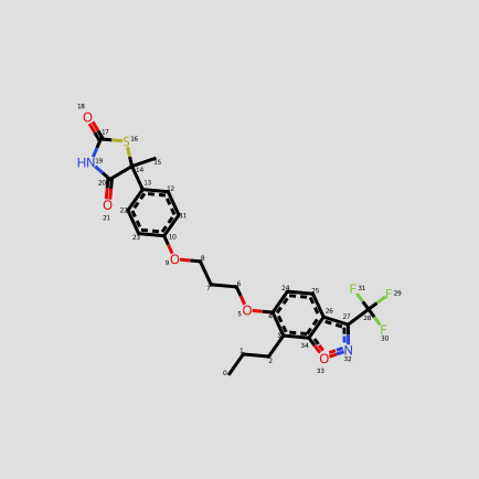 CCCc1c(OCCCOc2ccc(C3(C)SC(=O)NC3=O)cc2)ccc2c(C(F)(F)F)noc12